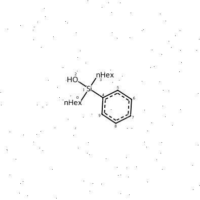 CCCCCC[Si](O)(CCCCCC)c1ccccc1